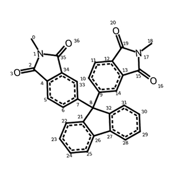 CN1C(=O)c2ccc(C3(c4ccc5c(c4)C(=O)N(C)C5=O)c4ccccc4-c4ccccc43)cc2C1=O